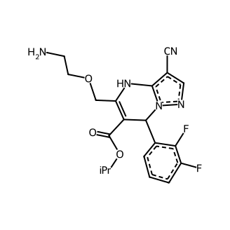 CC(C)OC(=O)C1=C(COCCN)Nc2c(C#N)cnn2C1c1cccc(F)c1F